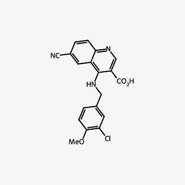 COc1ccc(CNc2c(C(=O)O)cnc3ccc(C#N)cc23)cc1Cl